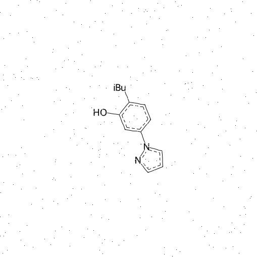 CCC(C)c1ccc(-n2cccn2)cc1O